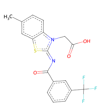 Cc1ccc2c(c1)sc(=NC(=O)c1cccc(C(F)(F)F)c1)n2CC(=O)O